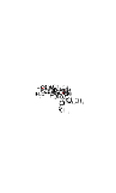 [BH3-][P+](C)(OC[C@@]1(C)C[C@@H](C)C(C)(C)C1OC(c1ccccc1)(c1ccc(OC)cc1)c1ccc(OC)cc1)O[C@@H]1[C@H](C)C[C@](C)(CC)C1(C)C